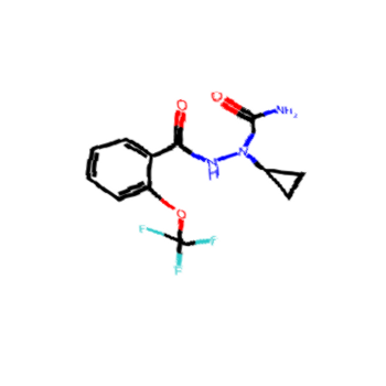 NC(=O)N(NC(=O)c1ccccc1OC(F)(F)F)C1CC1